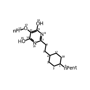 CCCCCC1CCC(CCc2nc(O)c(OCCC)c(O)n2)CC1